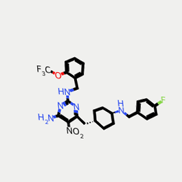 Nc1nc(NCc2ccccc2OC(F)(F)F)nc(C[C@H]2CC[C@H](NCc3ccc(F)cc3)CC2)c1[N+](=O)[O-]